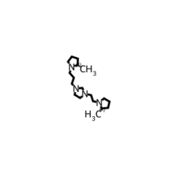 C[C@@H]1CCCN1CCN1CCN(CCCN2CCC[C@@H]2C)C1